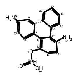 Nc1ccc(-c2c(O[PH](=O)O)ccc(N)c2-c2ccccc2)cc1